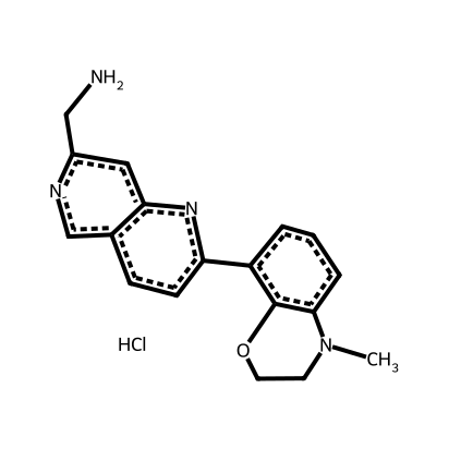 CN1CCOc2c(-c3ccc4cnc(CN)cc4n3)cccc21.Cl